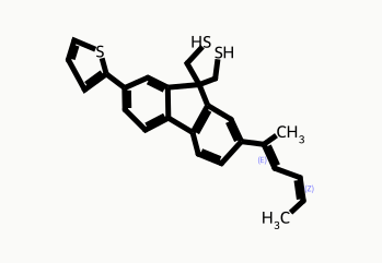 C/C=C\C=C(/C)c1ccc2c(c1)C(CS)(CS)c1cc(-c3cccs3)ccc1-2